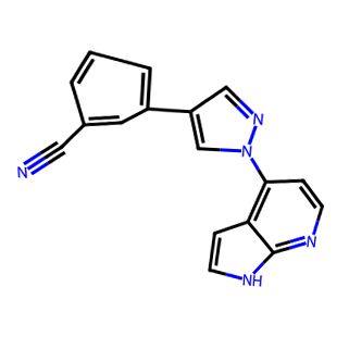 N#Cc1cccc(-c2cnn(-c3ccnc4[nH]ccc34)c2)c1